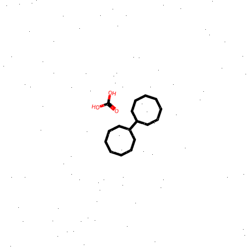 C1CCCC(C2CCCCCCC2)CCC1.O=C(O)O